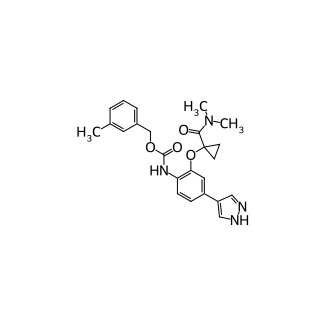 Cc1cccc(COC(=O)Nc2ccc(-c3cn[nH]c3)cc2OC2(C(=O)N(C)C)CC2)c1